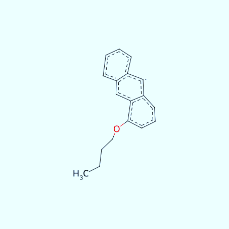 CCCCOc1cccc2[c]c3ccccc3cc12